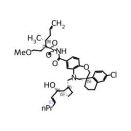 C=CC[C@@H](C)[C@H](CCOC)S(=O)(=O)NC(=O)c1ccc2c(c1)N(C[C@@H]1CC[C@@H]1[C@@H](O)/C=C/CCC)C[C@@]1(CCCc3cc(Cl)ccc31)CO2